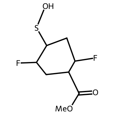 COC(=O)C1CC(F)C(SO)CC1F